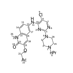 CCCN1CCN(c2ncc(Cl)c(Nc3ccc4c(c3)cc(OCC(C)=O)c(=O)n4C)n2)CC1